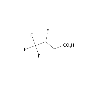 O=C(O)CC(F)C(F)(F)F